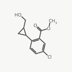 COC(=O)c1cc(Cl)ccc1C1CC1CO